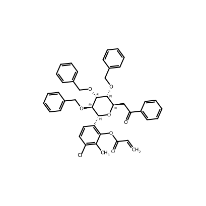 C=CC(=O)Oc1c([C@H]2O[C@H](CC(=O)c3ccccc3)[C@@H](OCc3ccccc3)[C@@H](OCc3ccccc3)[C@@H]2OCc2ccccc2)ccc(Cl)c1C